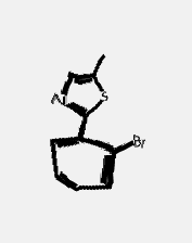 Cc1cnc(-c2ccccc2Br)s1